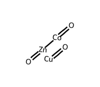 [O]=[Co][Zn]=[O].[O]=[Cu]